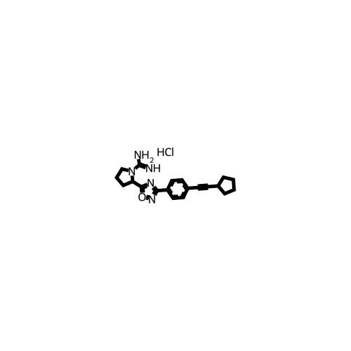 Cl.N=C(N)N1CCCC1c1nc(-c2ccc(C#CC3CCCC3)cc2)no1